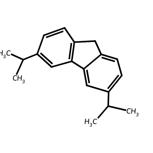 CC(C)c1ccc2c(c1)-c1cc(C(C)C)ccc1C2